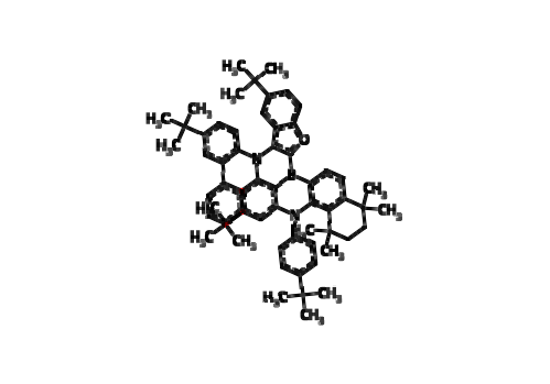 CC(C)(C)c1ccc(N2c3cc(C(C)(C)C)cc4c3B(c3ccc5c(c32)C(C)(C)CCC5(C)C)c2oc3ccc(C(C)(C)C)cc3c2N4c2ccc(C(C)(C)C)cc2-c2ccccc2)cc1